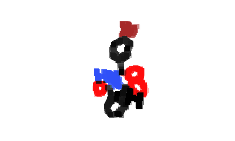 O=C(NN1C(=O)C2C3CCC(CC3)[C@H]2C1=O)c1ccc(Br)cc1